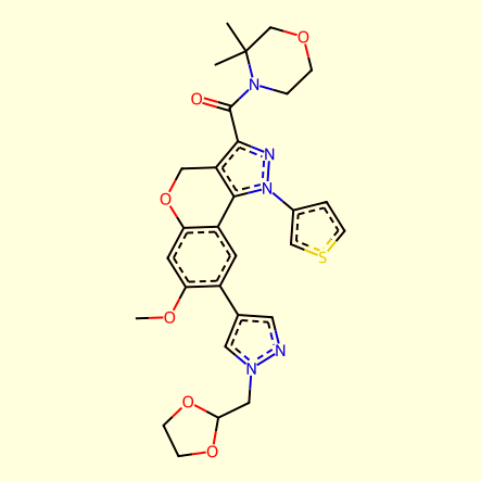 COc1cc2c(cc1-c1cnn(CC3OCCO3)c1)-c1c(c(C(=O)N3CCOCC3(C)C)nn1-c1ccsc1)CO2